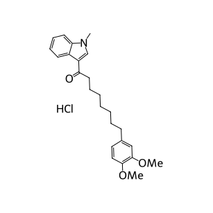 COc1ccc(CCCCCCCC(=O)c2cn(C)c3ccccc23)cc1OC.Cl